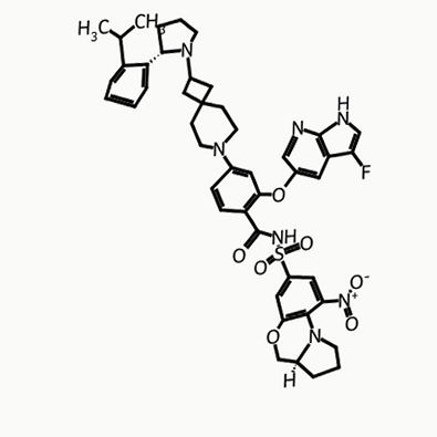 CC(C)c1ccccc1[C@@H]1CCCN1C1CC2(CCN(c3ccc(C(=O)NS(=O)(=O)c4cc5c(c([N+](=O)[O-])c4)N4CCC[C@H]4CO5)c(Oc4cnc5[nH]cc(F)c5c4)c3)CC2)C1